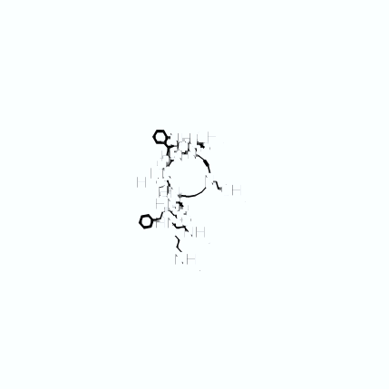 C=CCN1CC#CCN(NC(C)=O)C(=O)N[C@H](Cc2c[nH]c3ccccc23)C(=O)N[C@@H](C)C(=O)N[C@H](C(=O)N[C@H](CCc2ccccc2)C(=O)N[C@@H](CCCCN)C(N)=O)CCCC1